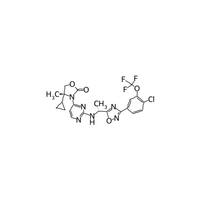 C[C@@H](Nc1nccc(N2C(=O)OC[C@@]2(C)C2CC2)n1)c1nc(-c2ccc(Cl)c(OC(F)(F)F)c2)no1